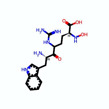 N=C(N)NC(CC[C@H](NO)C(=O)O)C(=O)[C@@H](N)Cc1c[nH]c2ccccc12